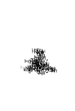 Nc1nc2ncc(CNc3ccc(C(=O)N[C@H](CCC(=O)N[C@@H](CCC(=O)NC[C@H](O)[C@@H](O)[C@H](O)[C@H](O)CO)C(=O)N[C@@H](CCC(=O)O)C(=O)N[C@@H](CCC(=O)NC[C@H](O)[C@@H](O)[C@H](O)[C@H](O)CO)C(=O)N[C@@H](CCC(=O)O)C(=O)N[C@@H](CCC(=O)NC[C@H](O)[C@@H](O)[C@H](O)[C@H](O)CO)C(=O)NC[C@H](N)C(=O)N[C@@H](CCC(=O)O)C(=O)N[C@@H](CS)C(=O)O)C(=O)O)cc3)nc2c(=O)[nH]1